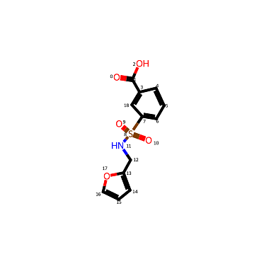 O=C(O)c1cccc(S(=O)(=O)NCc2ccco2)c1